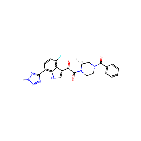 C[C@@H]1CN(C(=O)c2ccccc2)CCN1C(=O)C(=O)c1c[nH]c2c(-c3nnn(C)n3)ccc(F)c12